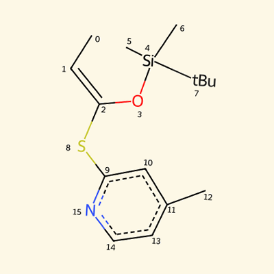 CC=C(O[Si](C)(C)C(C)(C)C)Sc1cc(C)ccn1